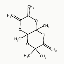 C=C1OC2(C)OC(=C)C(C)(C)OC2(C)OC1=C